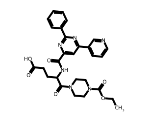 CCOC(=O)N1CCN(C(=O)C(CCC(=O)O)NC(=O)c2cc(-c3cccnc3)nc(-c3ccccc3)n2)CC1